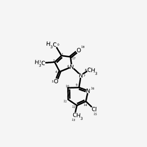 CC1=C(C)C(=O)N(N(C)c2ccc(C)c(Cl)n2)C1=O